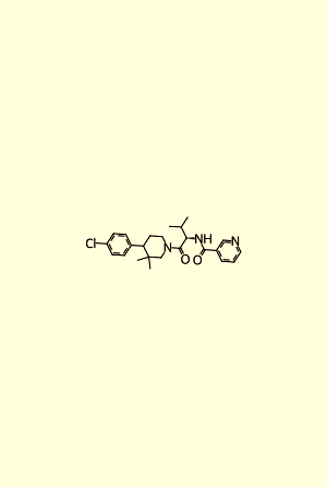 CC(C)[C@@H](NC(=O)c1cccnc1)C(=O)N1CCC(c2ccc(Cl)cc2)C(C)(C)C1